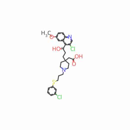 COc1ccc2ncc(Cl)c([C@H](O)CCC3(CC(=O)O)CCN(CCCSc4cccc(Cl)c4)CC3)c2c1